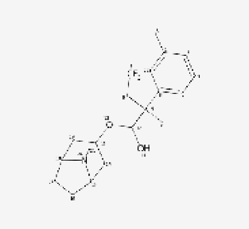 Cc1cccc(C(C)(CC(F)(F)F)C(O)OC2CC3CCC(C2)N3C)c1